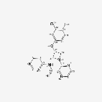 O=C(Nc1ccncn1)c1nccnc1N1CC(Oc2ccc(F)c(Cl)c2)C1